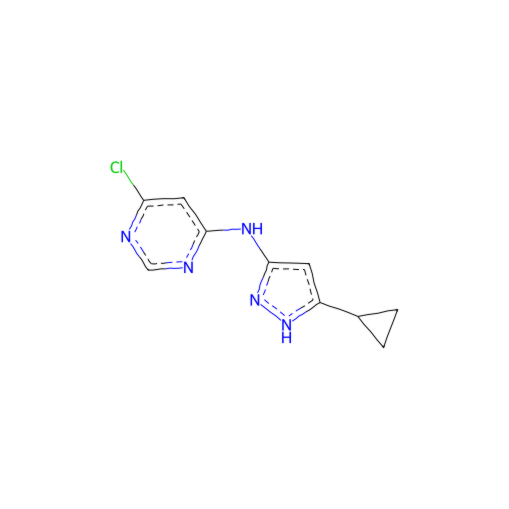 Clc1cc(Nc2cc(C3CC3)[nH]n2)ncn1